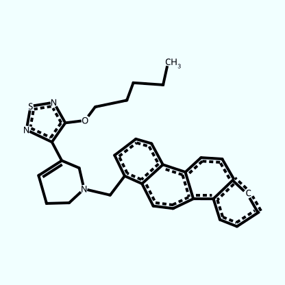 CCCCCOc1nsnc1C1=CCCN(Cc2cccc3c2ccc2c4ccccc4ccc32)C1